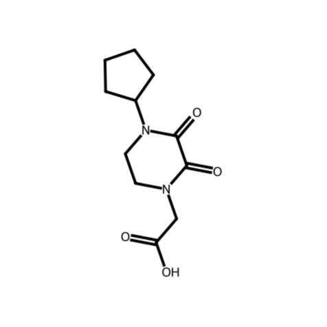 O=C(O)CN1CCN(C2CCCC2)C(=O)C1=O